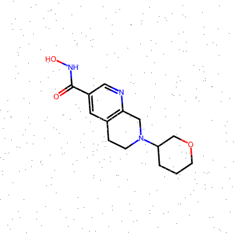 O=C(NO)c1cnc2c(c1)CCN(C1CCCOC1)C2